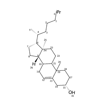 CC(C)CCC[C@@H](C)[C@H]1CC[C@H]2C3CC=C4C[C@@H](O)CCC4(C)C3CC[C@]12C